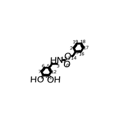 O=C(NCCc1ccc(O)c(O)c1)OCc1ccccc1